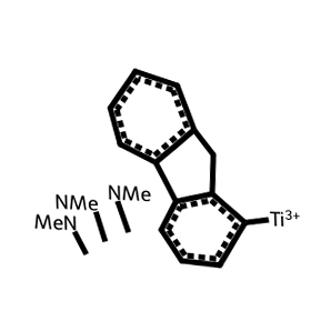 C[N-]C.C[N-]C.C[N-]C.[Ti+3][c]1cccc2c1Cc1ccccc1-2